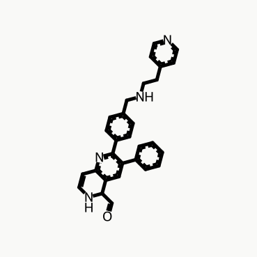 O=CC1NC=Cc2nc(-c3ccc(CNCCc4ccncc4)cc3)c(-c3ccccc3)cc21